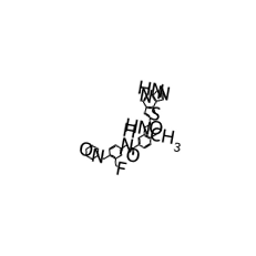 Cc1ccc(C(=O)Nc2ccc(CN3CCOCC3)c(CF)c2)cc1NC(=O)c1cc2cnc3[nH]ncc3c2s1